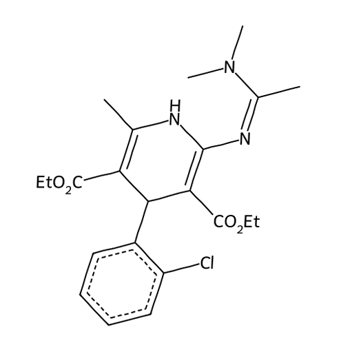 CCOC(=O)C1=C(C)NC(N=C(C)N(C)C)=C(C(=O)OCC)C1c1ccccc1Cl